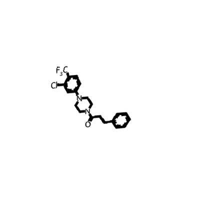 O=C(CCc1ccccc1)N1CCN(c2ccc(C(F)(F)F)c(Cl)c2)CC1